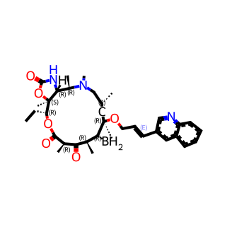 B[C@@H]1[C@@H](C)C(=O)[C@@H](C)C(=O)O[C@H](CC)[C@@]2(C)OC(=O)N[C@@H]2[C@@H](C)N(C)C[C@H](C)C[C@@]1(C)OC/C=C/c1cnc2ccccc2c1